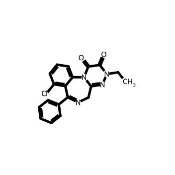 CCn1nc2n(c(=O)c1=O)-c1cccc(Cl)c1C(c1ccccc1)=NC2